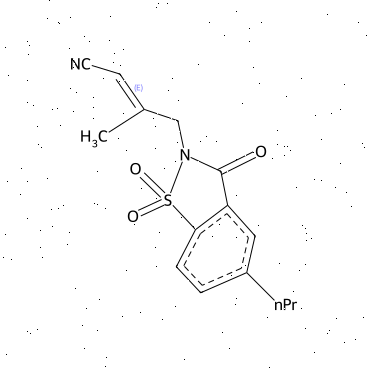 CCCc1ccc2c(c1)C(=O)N(C/C(C)=C/C#N)S2(=O)=O